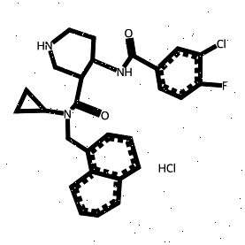 Cl.O=C(NC1CCNCC1C(=O)N(Cc1cccc2ccccc12)C1CC1)c1ccc(F)c(Cl)c1